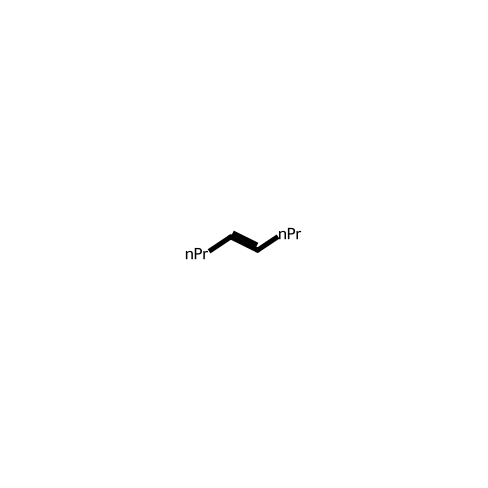 [CH]CCC=CCCC